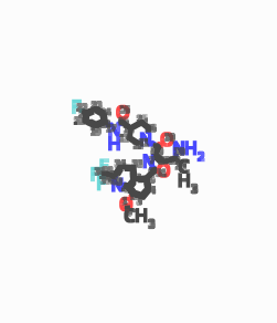 COc1ccc(-c2nc(C(=O)N3CCC(C(=O)Nc4ccc(F)cc4)CC3)c([C@H](C)N)o2)c2ccc(C(F)(F)F)nc12